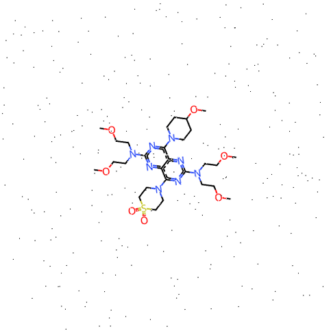 COCCN(CCOC)c1nc(N2CCS(=O)(=O)CC2)c2nc(N(CCOC)CCOC)nc(N3CCC(OC)CC3)c2n1